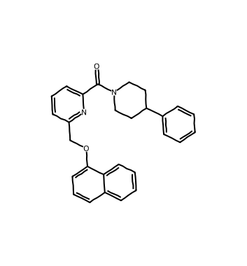 O=C(c1cccc(COc2cccc3ccccc23)n1)N1CCC(c2ccccc2)CC1